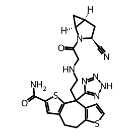 N#C[C@@H]1C[C@@H]2C[C@@H]2N1C(=O)CNCCC1(c2nn[nH]n2)c2ccsc2CCc2cc(C(N)=O)sc21